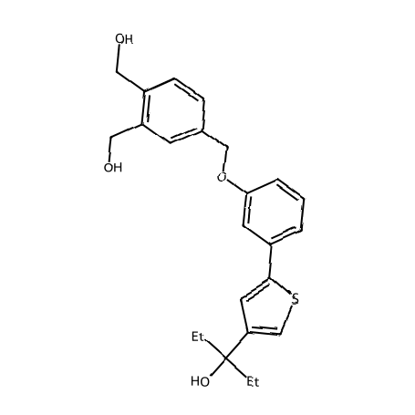 CCC(O)(CC)c1csc(-c2cccc(OCc3ccc(CO)c(CO)c3)c2)c1